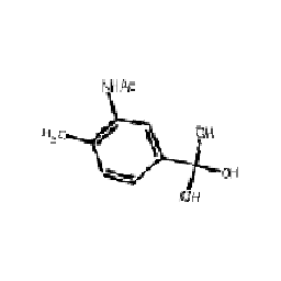 CC(=O)Nc1cc(C(O)(O)O)ccc1C